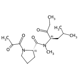 CCC(=O)[C@@H](CC(C)C)N(C)C(=O)[C@@H]1CCCN1C(=O)C(C)=O